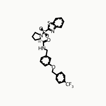 O=C(NCc1cccc(OCc2ccc(C(F)(F)F)cc2)c1)[C@@H]1CCCN1S(=O)(=O)c1nc2ccccc2s1